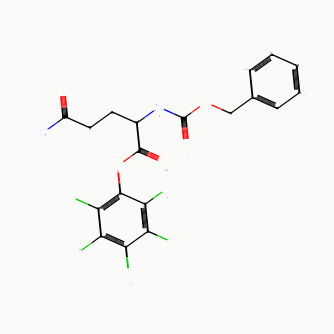 NC(=O)CCC(NC(=O)OCc1ccccc1)C(=O)Oc1c(Cl)c(Cl)c(Cl)c(Cl)c1Cl